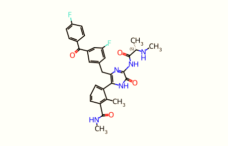 CNC(=O)c1cccc(-c2[nH]c(=O)c(NC(=O)[C@H](C)NC)nc2Cc2cc(F)cc(C(=O)c3ccc(F)cc3)c2)c1C